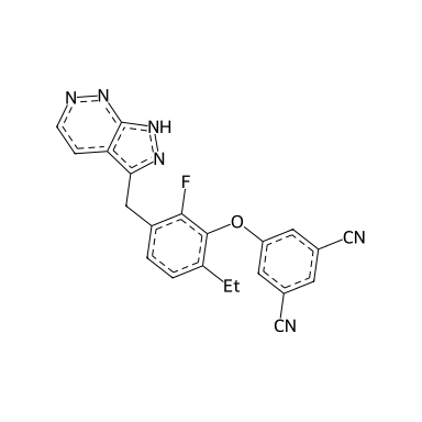 CCc1ccc(Cc2n[nH]c3nnccc23)c(F)c1Oc1cc(C#N)cc(C#N)c1